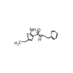 CCc1cc(C(=O)NCCc2ccccc2)c(N)s1